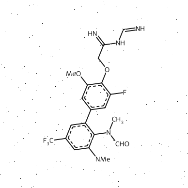 CNc1cc(C(F)(F)F)cc(-c2cc(F)c(OCC(=N)NC=N)c(OC)c2)c1N(C)C=O